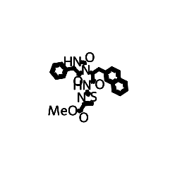 COC(=O)c1csc(NC(=O)C(Cc2ccc3ccccc3c2)N2C(=O)NC(c3ccccc3)C2=O)n1